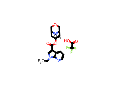 CN1C2COCC1CC(OC(=O)c1cn(CC(F)(F)F)c3ncccc13)C2.O=C(O)C(F)(F)F